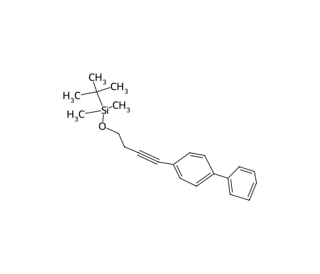 CC(C)(C)[Si](C)(C)OCCC#Cc1ccc(-c2ccccc2)cc1